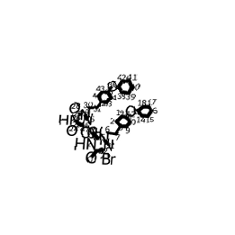 O=c1[nH]c(=O)n(CCc2ccc(Oc3ccccc3)cc2)nc1Br.O=c1[nH]c(=O)n(CCc2ccc(Oc3ccccc3)cc2)nc1O